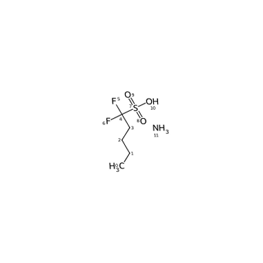 CCCCC(F)(F)S(=O)(=O)O.N